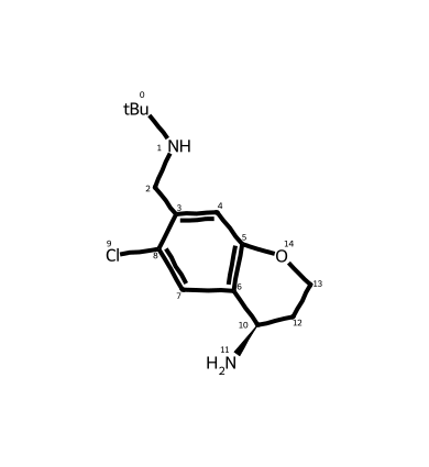 CC(C)(C)NCc1cc2c(cc1Cl)[C@H](N)CCO2